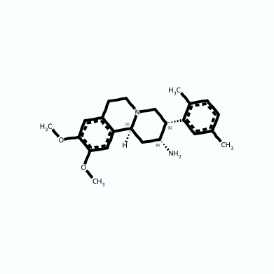 COc1cc2c(cc1OC)[C@@H]1C[C@@H](N)[C@@H](c3cc(C)ccc3C)CN1CC2